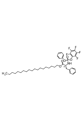 CCCCCCCCCCCCCCCCCCCOC(=O)[C@H](Cc1ccccc1)NP(=O)(Oc1ccccc1)Oc1c(F)c(F)c(F)c(F)c1F